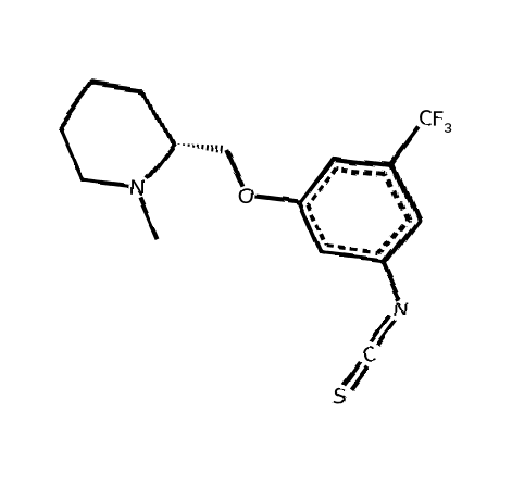 CN1CCCC[C@@H]1COc1cc(N=C=S)cc(C(F)(F)F)c1